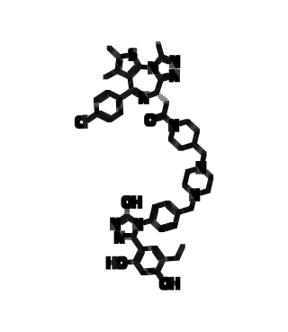 CCc1cc(-c2nnc(O)n2-c2ccc(CN3CCN(CC4CCN(C(=O)C[C@@H]5N=C(c6ccc(Cl)cc6)c6c(sc(C)c6C)-n6c(C)nnc65)CC4)CC3)cc2)c(O)cc1O